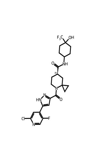 O=C(NC1CCC(O)(C(F)(F)F)CC1)[C@@H]1CCN(C(=O)c2cc(-c3cc(Cl)ncc3F)[nH]n2)C2(CC2)C1